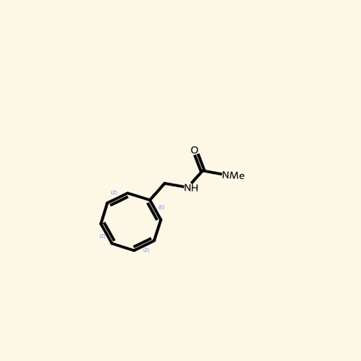 CNC(=O)NCC1=C/C=C\C=C/C=C\1